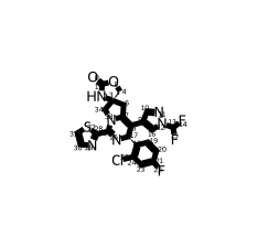 O=C1N[C@@]2(CO1)CC1=C(c3cnn(C(F)F)c3)[C@H](c3ccc(F)cc3Cl)N=C(c3nccs3)N1C2